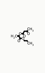 C=C(OC(=O)CC(C)=O)C(=O)OCCC